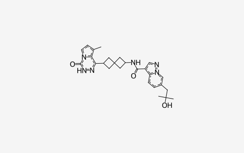 Cc1ccn2c(=O)[nH]nc(C3CC4(CC(NC(=O)c5cnn6cc(CC(C)(C)O)ccc56)C4)C3)c12